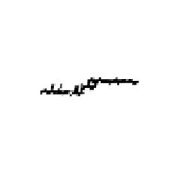 CCCCCCCCCCCc1ccc(-c2ncc(OCCC(F)CC(F)CCC)cn2)cc1